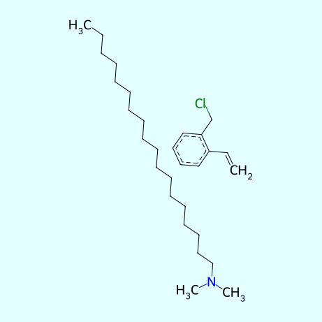 C=Cc1ccccc1CCl.CCCCCCCCCCCCCCCCCCN(C)C